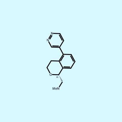 CNC[C@@H]1OCCc2c(-c3ccnnc3)cccc21